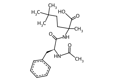 CC(=O)N[C@@H](Cc1ccccc1)C(=O)NC(C)(CCC(C)(C)C)C(=O)O